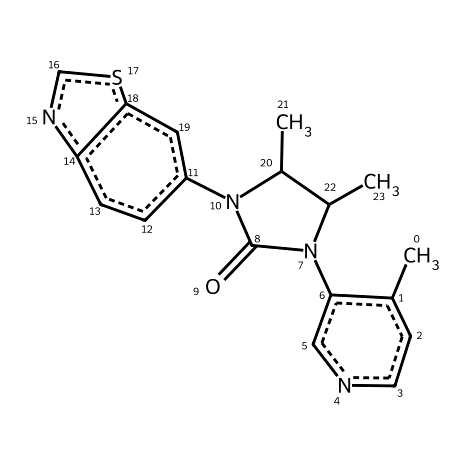 Cc1ccncc1N1C(=O)N(c2ccc3ncsc3c2)C(C)C1C